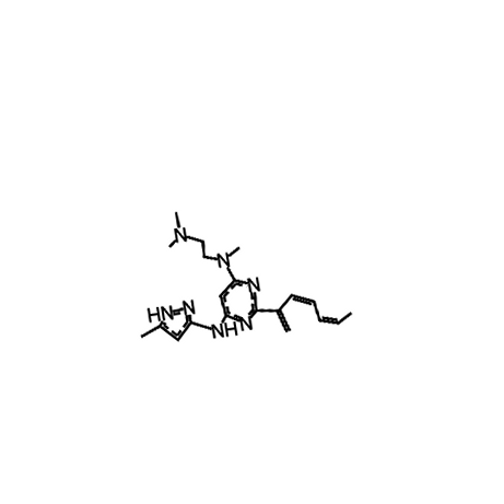 C=C(/C=C\C=C/C)c1nc(Nc2cc(C)[nH]n2)cc(N(C)CCN(C)C)n1